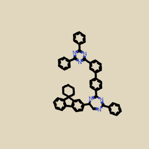 C1=NC(c2ccccc2)=NC(c2ccc(-c3cccc(-c4nc(-c5ccccc5)nc(-c5ccccc5)n4)c3)cc2)=NC1c1ccc2c(c1)C1(CCCCC1)c1ccccc1-2